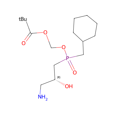 CC(C)(C)C(=O)OCOP(=O)(CC1CCCCC1)C[C@H](O)CN